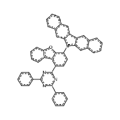 c1ccc(-c2nc(-c3ccccc3)nc(-c3ccc(-n4c5cc6ccccc6cc5c5cc6ccccc6cc54)c4oc5ccccc5c34)n2)cc1